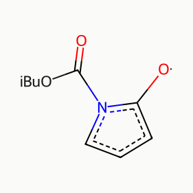 CC(C)COC(=O)n1cccc1[O]